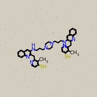 Cc1c(S)ccnc1Cc1nc2ccccc2cc1NCCCN1CCN(CCCNc2cc3ccccc3nc2Cc2nccc(S)c2C)CC1